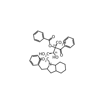 O=C(O)N1C(Cc2ccccc2)CC2CCCCC21.O=C(O[C@](C(=O)O)(C(=O)c1ccccc1)[C@@H](O)C(=O)O)c1ccccc1